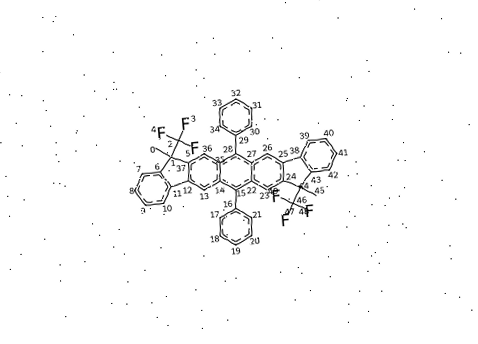 CC1(C(F)(F)F)c2ccccc2-c2cc3c(-c4ccccc4)c4cc5c(cc4c(-c4ccccc4)c3cc21)-c1ccccc1C5(C)C(F)(F)F